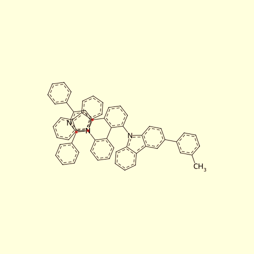 Cc1cccc(-c2ccc3c(c2)c2ccccc2n3-c2cccc(-c3cc(-c4ccccc4)nc(-c4ccccc4)n3)c2-c2ccccc2-n2c3ccccc3c3ccccc32)c1